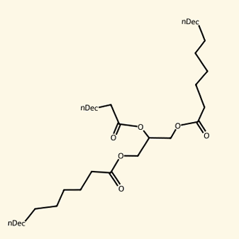 CCCCCCCCCCCCCCCC(=O)OCC(COC(=O)CCCCCCCCCCCCCCC)OC(=O)CCCCCCCCCCC